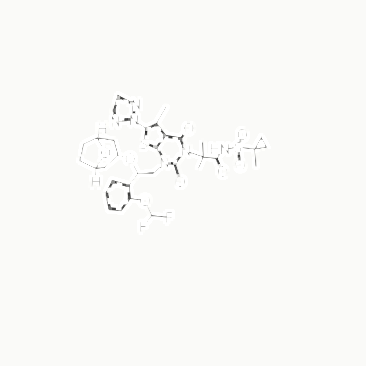 Cc1c(-n2nccn2)sc2c1c(=O)n(C(C)(C)C(=O)NS(=O)(=O)C1(C)CC1)c(=O)n2C[C@H](O[C@@H]1C[C@H]2CC[C@@H](C1)O2)c1ccccc1OC(F)F